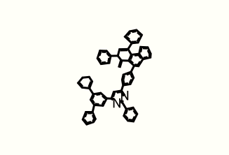 C=C1c2c(-c3ccc(-c4cc(-c5cc(C6=CCCC=C6)cc(-c6ccccc6)c5)nc(-c5ccccc5)n4)cc3)cc3ccccc3c2C(c2ccccc2)=CC1c1ccccc1